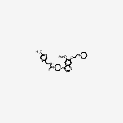 COc1cc2c(N3CCN(C(=S)NCc4cnc(C)cn4)CC3)ncnc2cc1OCCN1CCCCC1